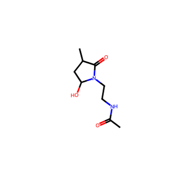 CC(=O)NCCN1C(=O)C(C)CC1O